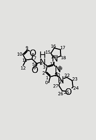 Cc1cc(NC(=O)C2OC=CC2C)c(N2CCCC2)nc1N1CCCOCC1